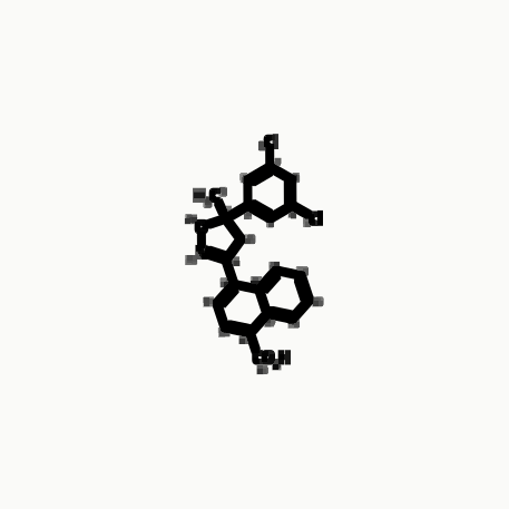 CC1(c2cc(Cl)cc(Cl)c2)CC(c2ccc(C(=O)O)c3ccccc23)=NO1